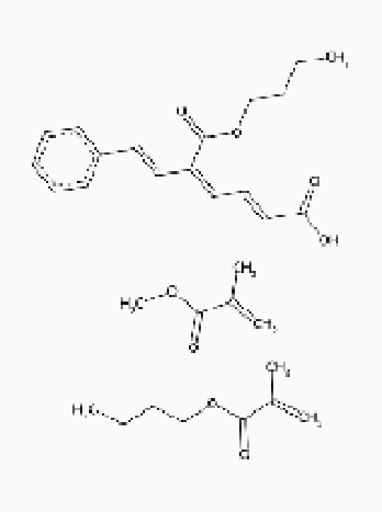 C=C(C)C(=O)OC.C=C(C)C(=O)OCCCC.CCCCOC(=O)C(C=Cc1ccccc1)=CC=CC(=O)O